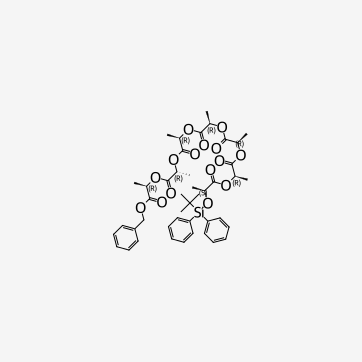 C[C@H](O[Si](c1ccccc1)(c1ccccc1)C(C)(C)C)C(=O)O[C@H](C)C(=O)O[C@H](C)C(=O)O[C@H](C)C(=O)O[C@H](C)C(=O)O[C@H](C)C(=O)O[C@H](C)C(=O)OCc1ccccc1